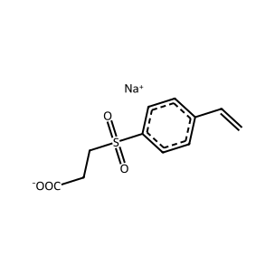 C=Cc1ccc(S(=O)(=O)CCC(=O)[O-])cc1.[Na+]